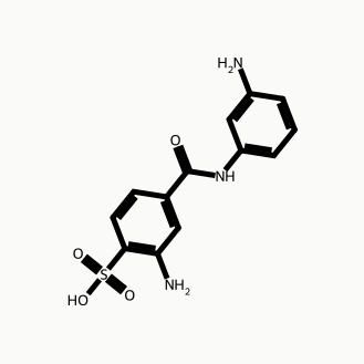 Nc1cccc(NC(=O)c2ccc(S(=O)(=O)O)c(N)c2)c1